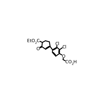 CCOC(=O)C1CCC(c2ccc(OCC(=O)O)c(Cl)c2Cl)=CC1=O